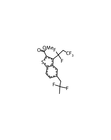 COC(=O)c1sc2ccc(CC(C)(F)F)cc2c1C(F)(F)CC(F)(F)F